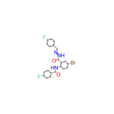 O=C(Nc1ccc(Br)cc1C(=O)NN=Cc1ccc(F)cc1)c1ccc(F)cc1